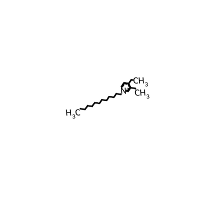 CCCCCCCCCCCCC[n+]1ccc(CC)c(CC)c1